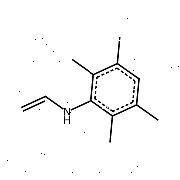 C=CNc1c(C)c(C)cc(C)c1C